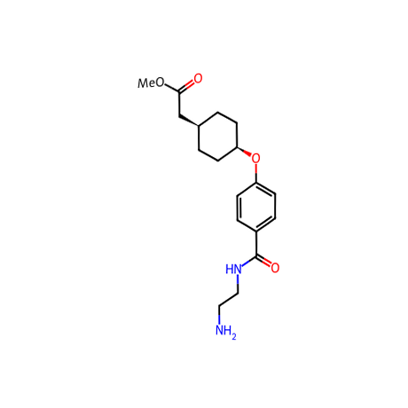 COC(=O)C[C@H]1CC[C@@H](Oc2ccc(C(=O)NCCN)cc2)CC1